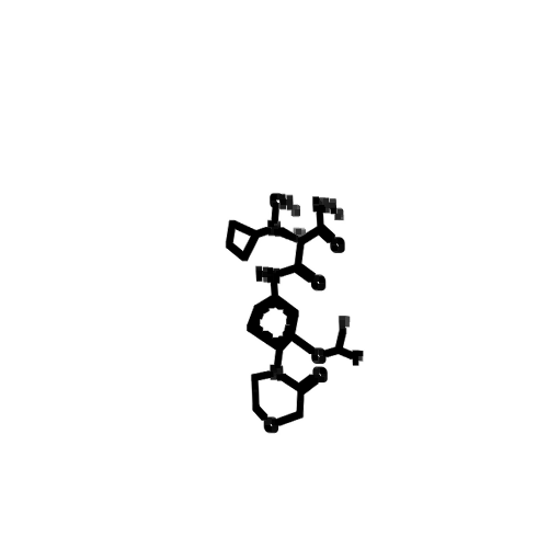 CN(C1CCC1)[C@@H](C(N)=O)C(=O)Nc1ccc(N2CCOCC2=O)c(OC(F)F)c1